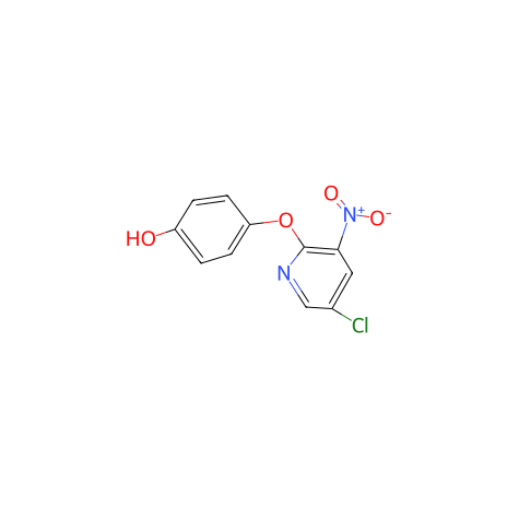 O=[N+]([O-])c1cc(Cl)cnc1Oc1ccc(O)cc1